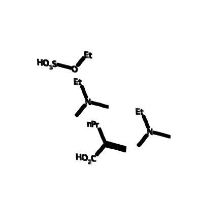 C=C(CCC)C(=O)O.CCN(C)C.CCN(C)C.CCOS(=O)(=O)O